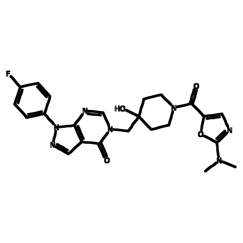 CN(C)c1ncc(C(=O)N2CCC(O)(Cn3cnc4c(cnn4-c4ccc(F)cc4)c3=O)CC2)o1